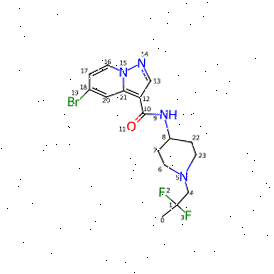 CC(F)(F)CN1CCC(NC(=O)c2cnn3ccc(Br)cc23)CC1